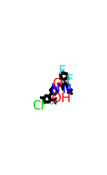 Cc1cc(C2CCN(C(=O)C3CN(C(C)(C)C)C[C@H]3c3ccc(F)cc3F)CC2)c([C@H](C)O)cc1Cl